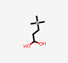 C[Si](C)(C)CCC(O)O